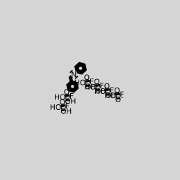 C[N+](C)(Cc1ccccc1)c1ccccc1.O=P(O)(O)F.O=P(O)(O)F.O=P(O)(O)F.O=P(O)(O)F.O=P(O)(O)F.O=P([O-])(O)F